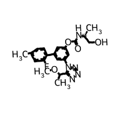 COC(C)c1nnnn1-c1cc(OC(=O)N[C@@H](C)CO)cc(-c2ccc(C)cc2F)c1